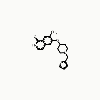 Cc1cc2c(=O)[nH]ccc2cc1OC1CCN(Cc2cccs2)CC1